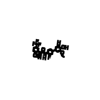 CCOC1=CC(c2ccc(NC(=O)Nc3cc(C(F)(F)F)ccc3O)c(F)c2)=CNC1O